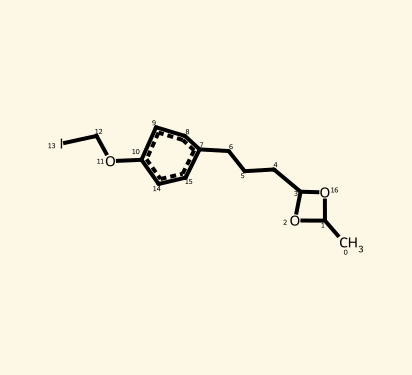 CC1OC(CCCc2ccc(OCI)cc2)O1